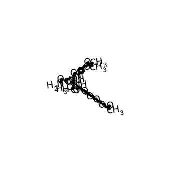 CC(=O)CCOCCOCCOCCOCCC(=O)N[C@H](C(=O)N[C@@H](CCCNC(N)=O)C(=O)Nc1ccc(COC(=O)C(C)C)cc1)C(C)C